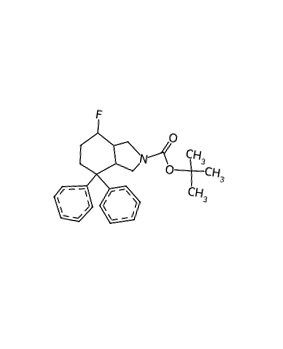 CC(C)(C)OC(=O)N1CC2C(F)CCC(c3ccccc3)(c3ccccc3)C2C1